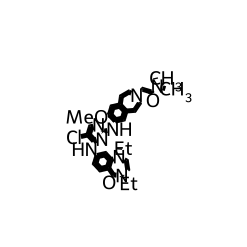 CCN1CCN(CC)c2cc(Nc3nc(Nc4cc5c(cc4OC)CCN(CC(=O)N(C)C)CC5)ncc3Cl)ccc2C1=O